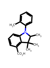 Cc1ccccc1N1c2cccc(C(=O)O)c2C(C)(C)C1C